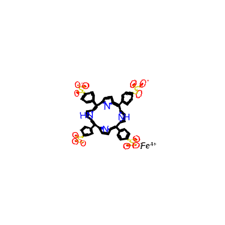 O=S(=O)([O-])c1ccc(-c2c3nc(c(-c4ccc(S(=O)(=O)[O-])cc4)c4ccc([nH]4)c(-c4ccc(S(=O)(=O)[O-])cc4)c4nc(c(-c5ccc(S(=O)(=O)[O-])cc5)c5ccc2[nH]5)C=C4)C=C3)cc1.[Fe+4]